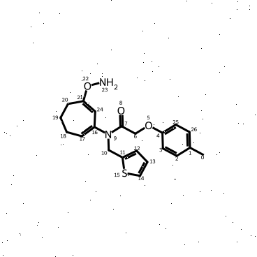 Cc1ccc(OCC(=O)N(Cc2cccs2)C2=CCCCC(ON)=C2)cc1